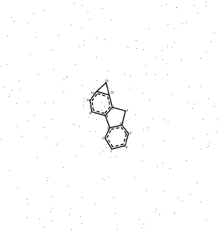 c1ccc2c(c1)Cc1c-2ccc2c1C2